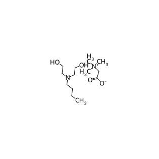 CCCCN(CCO)CCO.C[N+](C)(C)CC(=O)[O-]